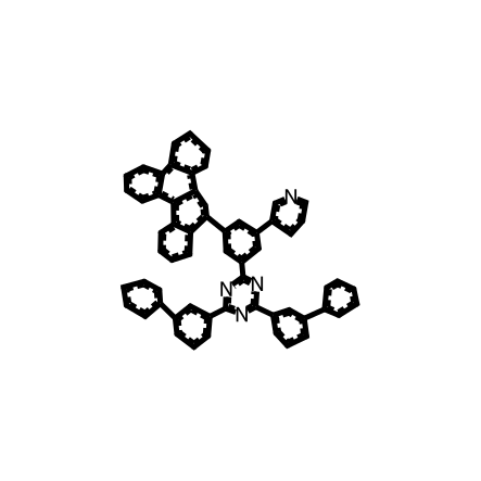 c1ccc(-c2cccc(-c3nc(-c4cccc(-c5ccccc5)c4)nc(-c4cc(-c5cccnc5)cc(-c5cc6c7ccccc7c7ccccc7c6c6ccccc56)c4)n3)c2)cc1